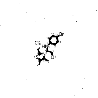 Cc1sc(C)[n+](C(C=O)Nc2ccc(Br)cc2)c1C.[Cl-]